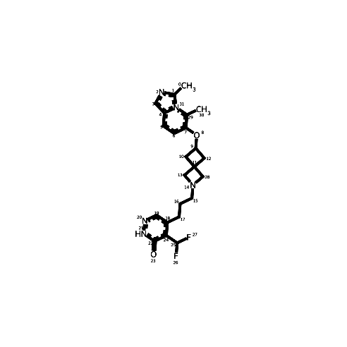 Cc1ncc2ccc(OC3CC4(C3)CN(CCCc3cn[nH]c(=O)c3C(F)F)C4)c(C)n12